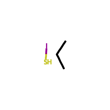 CCC.SI